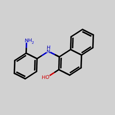 Nc1ccccc1Nc1c(O)ccc2ccccc12